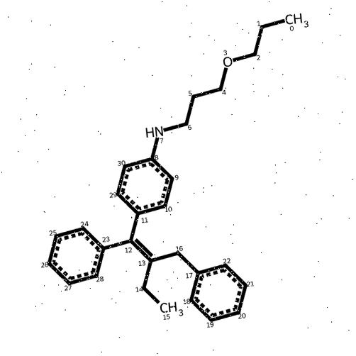 CCCOCCCNc1ccc(C(=C(CC)Cc2ccccc2)c2ccccc2)cc1